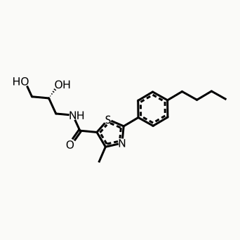 CCCCc1ccc(-c2nc(C)c(C(=O)NC[C@@H](O)CO)s2)cc1